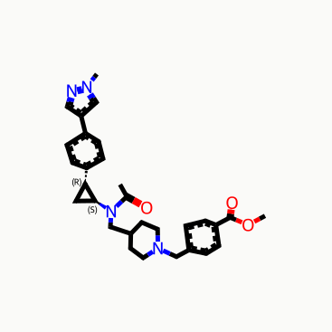 COC(=O)c1ccc(CN2CCC(CN(C(C)=O)[C@H]3C[C@@H]3c3ccc(-c4cnn(C)c4)cc3)CC2)cc1